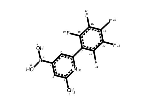 Cc1cc(B(O)O)cc(-c2c(F)c(F)c(F)c(F)c2F)n1